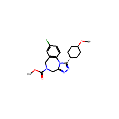 CC(C)O[C@H]1CC[C@H](c2nnc3n2-c2ccc(F)cc2CN(C(=O)OC(C)(C)C)C3)CC1